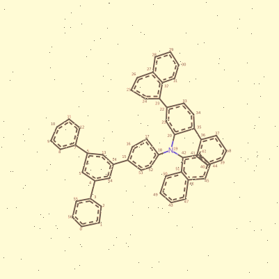 c1ccc(-c2cc(-c3ccccc3)cc(-c3ccc(N(c4cc(-c5cccc6ccccc56)ccc4-c4ccccc4)c4cccc5ccccc45)cc3)c2)cc1